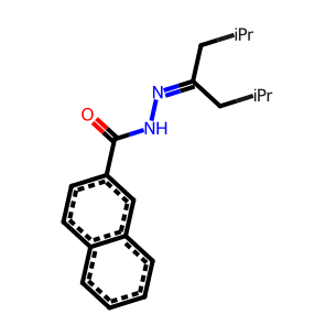 CC(C)CC(CC(C)C)=NNC(=O)c1ccc2ccccc2c1